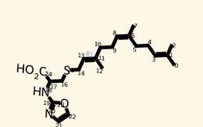 CC(C)=CCCC(C)=CCC/C(C)=C/CSCC(Nc1ncco1)C(=O)O